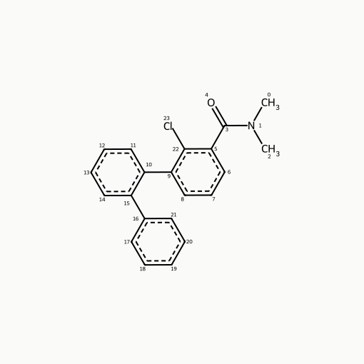 CN(C)C(=O)c1cccc(-c2ccccc2-c2ccccc2)c1Cl